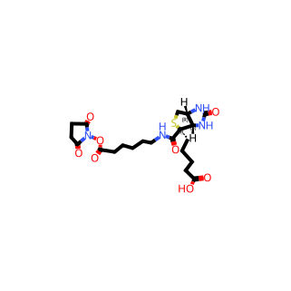 O=C(O)CCCC[C@]1(C(=O)NCCCCCC(=O)ON2C(=O)CCC2=O)SC[C@@H]2NC(=O)N[C@@H]21